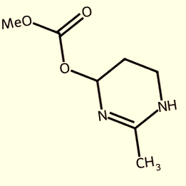 COC(=O)OC1CCNC(C)=N1